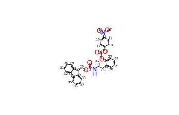 O=C(N[C@H](COC(=O)Oc1ccc([N+](=O)[O-])cc1)Cc1ccccc1)OCC1c2ccccc2-c2ccccc21